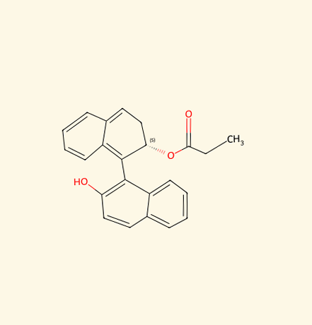 CCC(=O)O[C@H]1CC=c2ccccc2=C1c1c(O)ccc2ccccc12